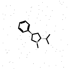 CC(C)[C@H]1C[C@H](c2ccccc2)CN1C